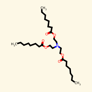 CCCCCCCC(=O)OCCN(CCOC(=O)CCCCCCC)CCOC(=O)CCCCCCC